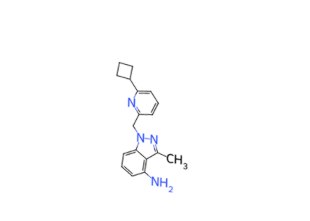 Cc1nn(Cc2cccc(C3CCC3)n2)c2cccc(N)c12